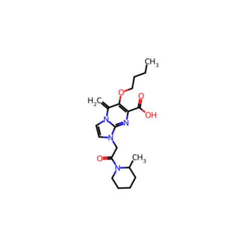 C=C1C(OCCCC)=C(C(=O)O)N=C2N(CC(=O)N3CCCCC3C)C=CN12